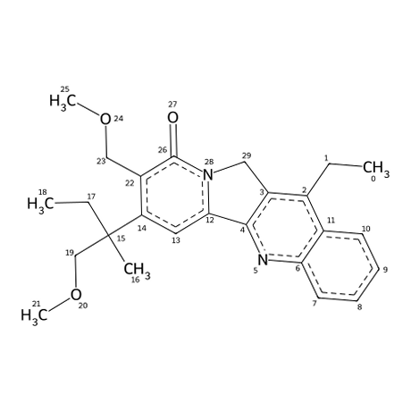 CCc1c2c(nc3ccccc13)-c1cc(C(C)(CC)COC)c(COC)c(=O)n1C2